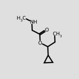 CCC(OC(=O)CNC)C1CC1